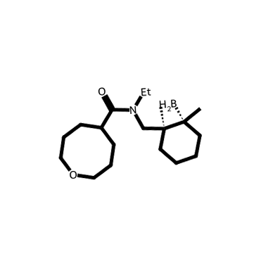 B[C@]1(C)CCCC[C@@]1(C)CN(CC)C(=O)C1CCCOCCC1